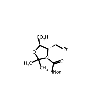 CCCCCCCCCC(=O)N1[C@@H](CC(C)C)[C@H](C(=O)O)OC1(C)C